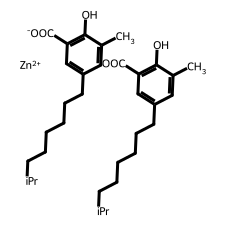 Cc1cc(CCCCCCC(C)C)cc(C(=O)[O-])c1O.Cc1cc(CCCCCCC(C)C)cc(C(=O)[O-])c1O.[Zn+2]